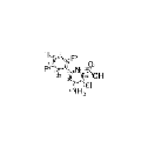 Nc1cc(-c2c(F)cc(I)c(F)c2F)nc(C(=O)O)c1Cl